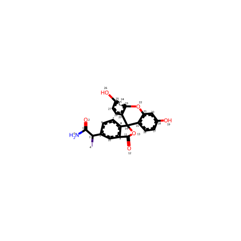 NC(=O)C(I)c1ccc2c(c1)C(=O)OC21c2ccc(O)cc2Oc2cc(O)ccc21